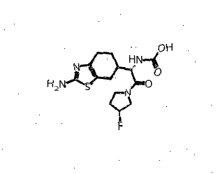 Nc1nc2c(s1)CC([C@H](NC(=O)O)C(=O)N1CC[C@H](F)C1)CC2